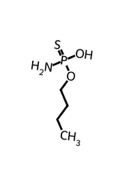 CCCCOP(N)(O)=S